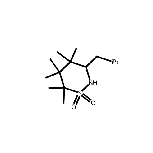 CC(C)CC1NS(=O)(=O)C(C)(C)C(C)(C)C1(C)C